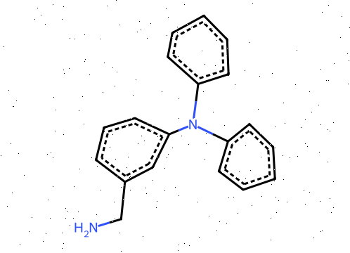 NCc1cccc(N(c2ccccc2)c2ccccc2)c1